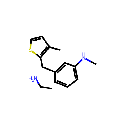 CCN.CNc1cccc(Cc2sccc2C)c1